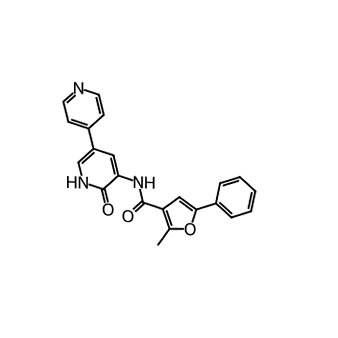 Cc1oc(-c2ccccc2)cc1C(=O)Nc1cc(-c2ccncc2)c[nH]c1=O